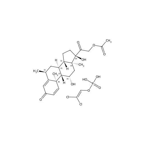 CC(=O)OCC(=O)[C@@]1(O)CC[C@H]2[C@@H]3C[C@H](C)C4=CC(=O)C=C[C@]4(C)[C@H]3[C@@H](O)C[C@@]21C.O=P(O)(O)OC=C(Cl)Cl